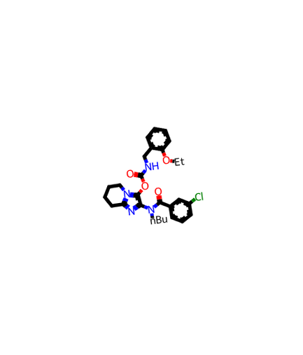 CCCCN(C(=O)c1cccc(Cl)c1)c1nc2n(c1OC(=O)NCc1ccccc1OCC)CCCC2